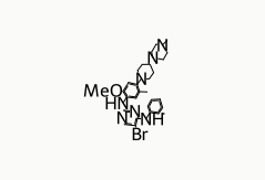 COc1cc(N2CCC(N3CCN(C)CC3)CC2)c(C)cc1Nc1ncc(Br)c(Nc2[c]cccc2)n1